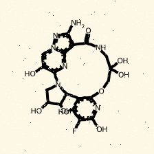 Nc1nn2cc(O)c3nc2c1C(=O)NCC(O)(O)COc1nc(O)c(F)c(O)c1C1C(O)C(O)CN31